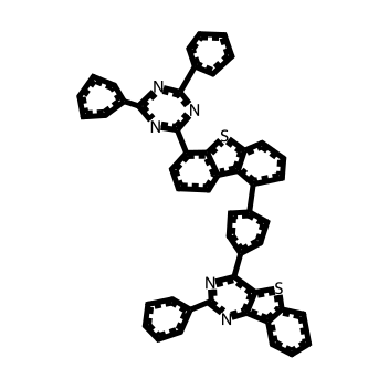 c1ccc(-c2nc(-c3ccccc3)nc(-c3cccc4c3sc3cccc(-c5ccc(-c6nc(-c7ccccc7)nc7c6sc6ccccc67)cc5)c34)n2)cc1